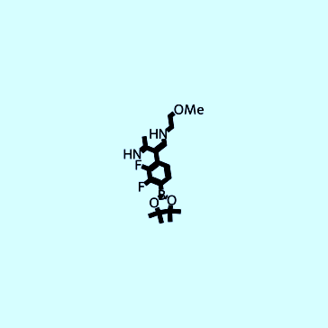 COCCN/C=C(\C(C)=N)c1ccc(B2OC(C)(C)C(C)(C)O2)c(F)c1F